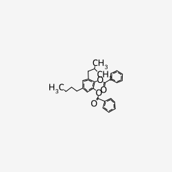 CCCCc1cc(CC(C)C)c(OC(=O)c2ccccc2)c(OC(=O)c2ccccc2)c1